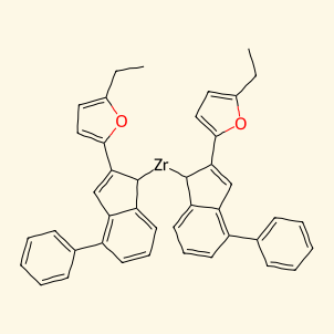 CCc1ccc(C2=Cc3c(-c4ccccc4)cccc3[CH]2[Zr][CH]2C(c3ccc(CC)o3)=Cc3c(-c4ccccc4)cccc32)o1